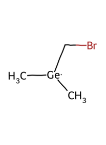 [CH3][Ge]([CH3])[CH2]Br